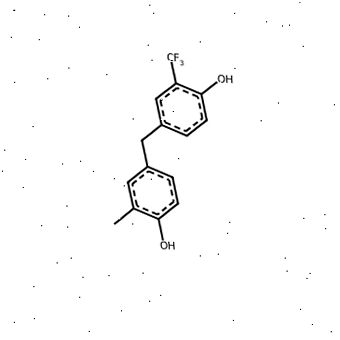 Cc1cc(Cc2ccc(O)c(C(F)(F)F)c2)ccc1O